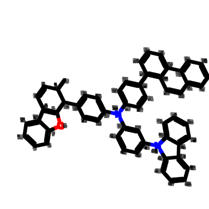 CC1C=Cc2c(oc3ccccc23)C1c1ccc(N(c2ccc(-c3cccc4c3ccc3ccccc34)cc2)c2cccc(-n3c4ccccc4c4ccccc43)c2)cc1